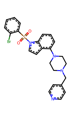 O=S(=O)(c1ccccc1Br)n1ccc2c(N3CCN(Cc4ccncc4)CC3)cccc21